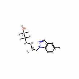 Cc1ccc2c(cnn2C[C@H](C)CCC(C)(C)[Si](C)(C)O)c1